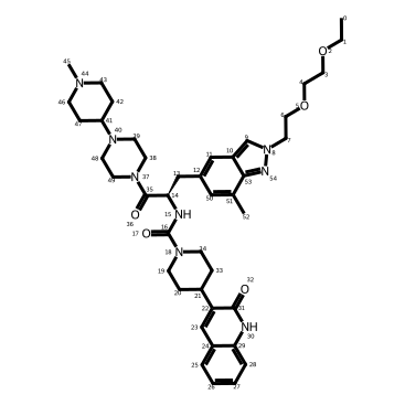 CCOCCOCCn1cc2cc(C[C@@H](NC(=O)N3CCC(c4cc5ccccc5[nH]c4=O)CC3)C(=O)N3CCN(C4CCN(C)CC4)CC3)cc(C)c2n1